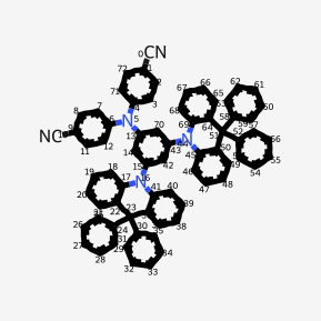 N#Cc1ccc(N(c2ccc(C#N)cc2)c2cc(N3c4ccccc4C(c4ccccc4)(c4ccccc4)c4ccccc43)cc(N3c4ccccc4C(c4ccccc4)(c4ccccc4)c4ccccc43)c2)cc1